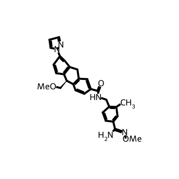 COC[C@@H]1c2ccc(C(=O)NCc3ccc(C(N)=NOC)cc3C)cc2Cc2cc(-n3cccn3)ccc21